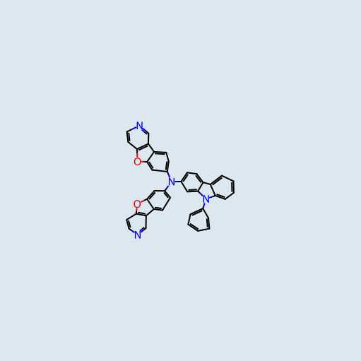 c1ccc(-n2c3ccccc3c3ccc(N(c4ccc5c(c4)oc4ccncc45)c4ccc5c(c4)oc4ccncc45)cc32)cc1